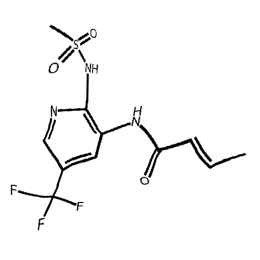 CC=CC(=O)Nc1cc(C(F)(F)F)cnc1NS(C)(=O)=O